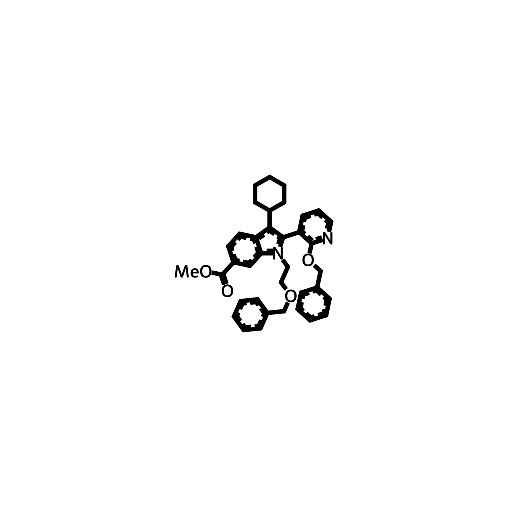 COC(=O)c1ccc2c(C3CCCCC3)c(-c3cccnc3OCc3ccccc3)n(CCOCc3ccccc3)c2c1